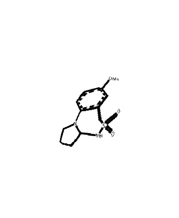 COc1ccc2c(c1)S(=O)(=O)NC1CCCN21